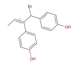 C/C=C(\c1ccc(O)cc1)C(CC)c1ccc(O)cc1